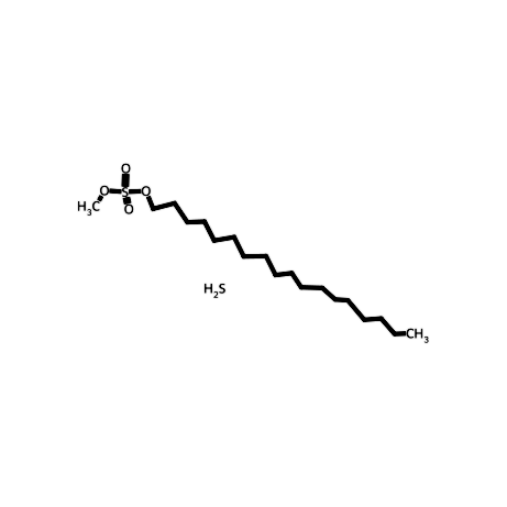 CCCCCCCCCCCCCCCCCCOS(=O)(=O)OC.S